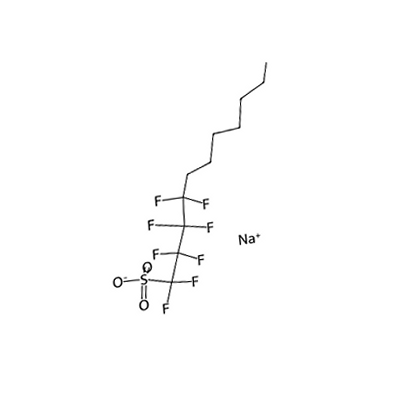 CCCCCCCC(F)(F)C(F)(F)C(F)(F)C(F)(F)S(=O)(=O)[O-].[Na+]